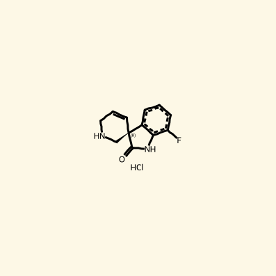 Cl.O=C1Nc2c(F)cccc2[C@@]12C=CCNC2